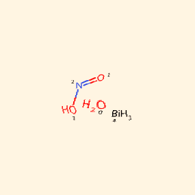 O.O=NO.[BiH3]